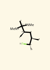 CNC(C)(NC)[C@H](C)C[C@@H](C)[C@H](C)F